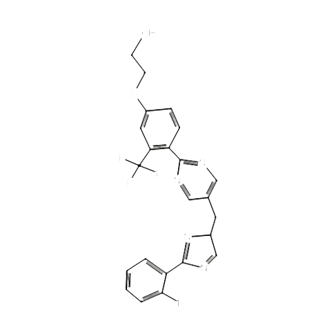 CCCOc1ccc(-c2ncc(CC3C=NC(c4ccccc4F)=N3)cn2)c(C(F)(F)F)c1